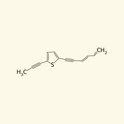 C=C/C=C/C#Cc1ccc(C#CC)s1